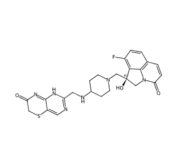 O=C1CSC2=CN=C(CNC3CCN(C[C@@]4(O)Cn5c(=O)ccc6ccc(F)c4c65)CC3)NC2=N1